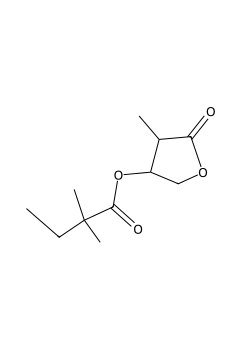 CCC(C)(C)C(=O)OC1COC(=O)C1C